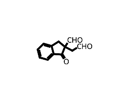 O=CCC1(C=O)Cc2ccccc2C1=O